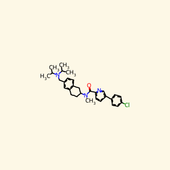 CC(C)N(Cc1ccc2c(c1)CCC(N(C)C(=O)c1ccc(-c3ccc(Cl)cc3)cn1)C2)C(C)C